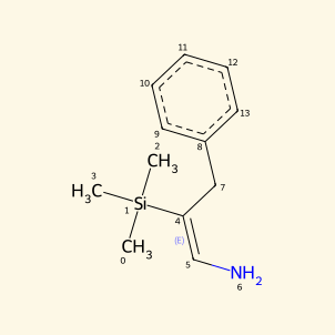 C[Si](C)(C)/C(=C/N)Cc1ccccc1